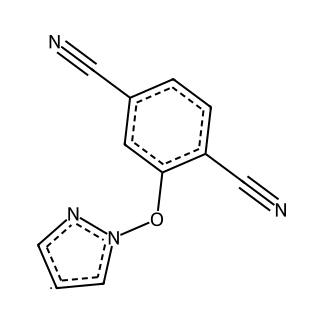 N#Cc1ccc(C#N)c(On2c[c]cn2)c1